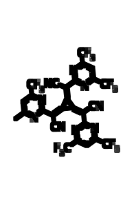 Cc1cc(C(F)(F)F)nc(/C(C#N)=C2/C(=C(C#N)c3nc(C(F)(F)F)cc(C(F)(F)F)n3)/C2=C(/C#N)c2nc(C(F)(F)F)cc(C(F)(F)F)n2)n1